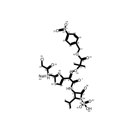 CC(C)C1C(NC(=O)/C(=N\OC(C)(C)C(=O)OCc2ccc([N+](=O)[O-])cc2)c2csc(NC(=O)CCl)n2)C(=O)N1S(=O)(=O)O.[NaH]